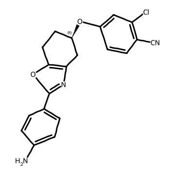 N#Cc1ccc(O[C@@H]2CCc3oc(-c4ccc(N)cc4)nc3C2)cc1Cl